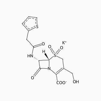 O=C(Cc1cccs1)N[C@H]1C(=O)N2C(C(=O)[O-])=C(CO)CS(=O)(=O)[C@@H]12.[K+]